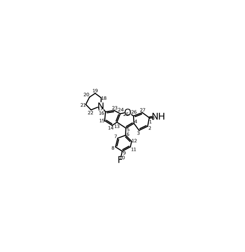 N=c1ccc2c(-c3ccc(F)cc3)c3ccc(N4CCCCC4)cc3oc-2c1